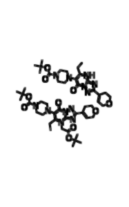 CCc1[nH]c2nc(C3=CCOCC3)nn2c(=O)c1N1CCN(C(=O)OC(C)(C)C)CC1.CCc1c(N2CCN(C(=O)OC(C)(C)C)CC2)c(=O)n2nc(C3=CCOCC3)nc2n1CC(=O)OC(C)(C)C